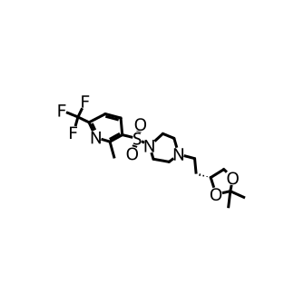 Cc1nc(C(F)(F)F)ccc1S(=O)(=O)N1CCN(CC[C@@H]2COC(C)(C)O2)CC1